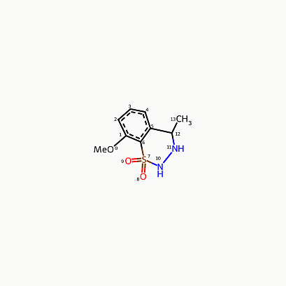 COc1cccc2c1S(=O)(=O)NNC2C